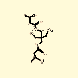 CC(=O)OCC(CO)(COC(=O)CC(C)S)COC(=O)CC(C)S